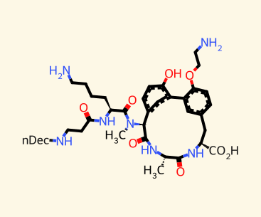 CCCCCCCCCCNCCC(=O)N[C@@H](CCCCN)C(=O)N(C)[C@@H]1C(=O)N[C@@H](C)C(=O)N[C@H](C(=O)O)Cc2ccc(OCCN)c(c2)-c2cc1ccc2O